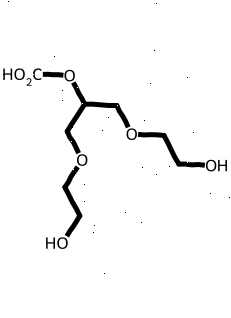 O=C(O)OC(COCCO)COCCO